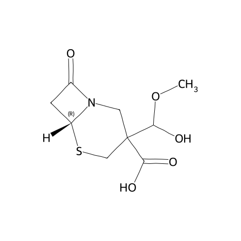 COC(O)C1(C(=O)O)CS[C@@H]2CC(=O)N2C1